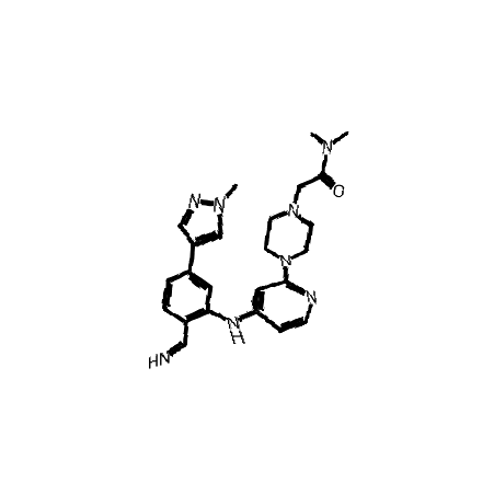 CN(C)C(=O)CN1CCN(c2cc(Nc3cc(-c4cnn(C)c4)ccc3C=N)ccn2)CC1